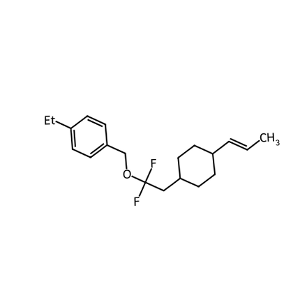 CC=CC1CCC(CC(F)(F)OCc2ccc(CC)cc2)CC1